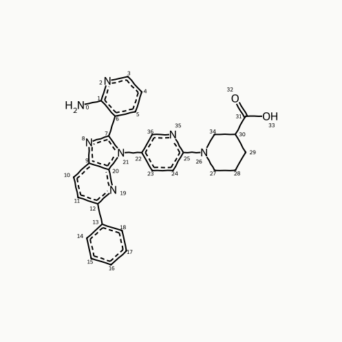 Nc1ncccc1-c1nc2ccc(-c3ccccc3)nc2n1-c1ccc(N2CCCC(C(=O)O)C2)nc1